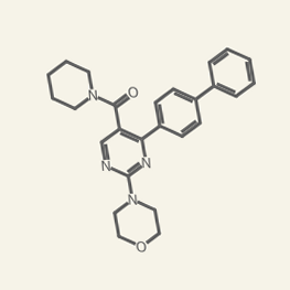 O=C(c1cnc(N2CCOCC2)nc1-c1ccc(-c2ccccc2)cc1)N1CCCCC1